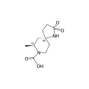 C[C@H]1C[C@]2(CCN1C(=O)O)CCS(=O)(=O)N2